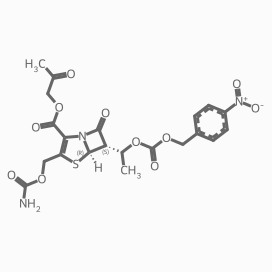 CC(=O)COC(=O)C1=C(COC(N)=O)S[C@@H]2[C@@H](C(C)OC(=O)OCc3ccc([N+](=O)[O-])cc3)C(=O)N12